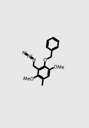 COc1cc(C)c(OC)c(CN=[N+]=[N-])c1OCc1ccccc1